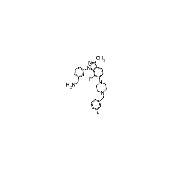 Cc1nn(-c2cccc(CN)c2)c2c(F)c(N3CCN(Cc4cccc(F)c4)CC3)ccc12